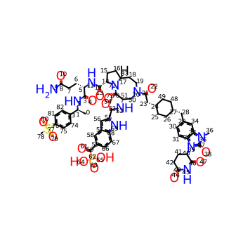 C[C@H](NC(=O)[C@H](CCC(N)=O)NC(=O)[C@@H]1CC[C@@H]2CCN(C(=O)C[C@H]3CC[C@@H](Cc4ccc5c(c4)n(C)c(=O)n5C4CCC(=O)NC4=O)CC3)C[C@H](NC(=O)c3cc4cc(C(=O)P(=O)(O)O)ccc4[nH]3)C(=O)N21)c1ccc(S(C)(=O)=O)cc1